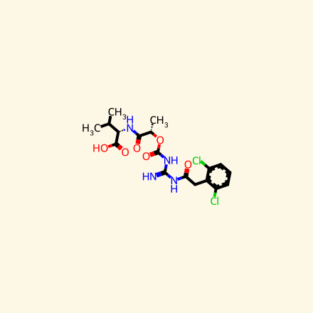 CC(C)[C@H](NC(=O)[C@H](C)OC(=O)NC(=N)NC(=O)Cc1c(Cl)cccc1Cl)C(=O)O